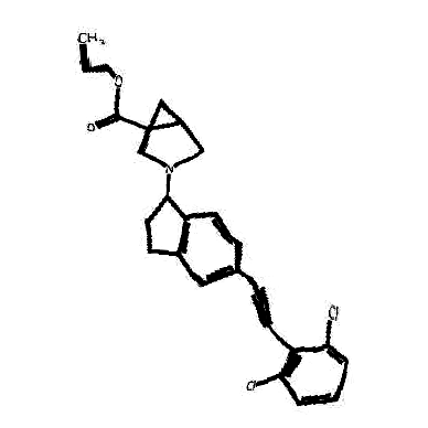 CCOC(=O)C12CC1CN(C1CCc3cc(C#Cc4c(Cl)cccc4Cl)ccc31)C2